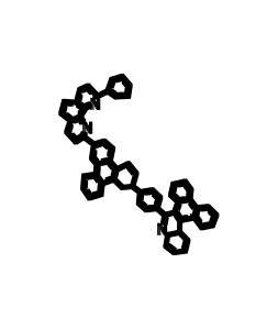 C1=CC2N=C(c3ccc(C4C=Cc5c(c6ccccc6c6cc(-c7ccc8ccc9ccc(-c%10ccccc%10)nc9c8n7)ccc56)C4)cc3)c3c(c4ccccc4c4ccccc34)C2C=C1